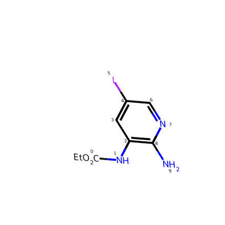 CCOC(=O)Nc1cc(I)cnc1N